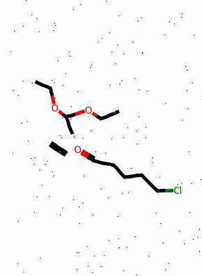 C=C.CCOC(C)OCC.O=CCCCCCl